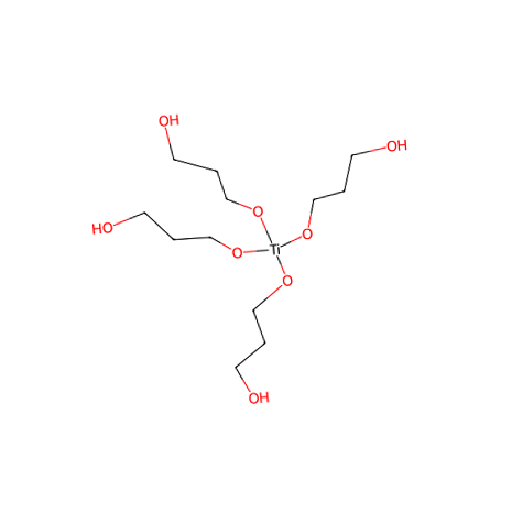 OCCC[O][Ti]([O]CCCO)([O]CCCO)[O]CCCO